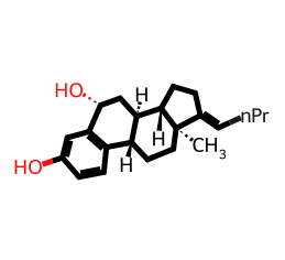 CCCC=C1CC[C@H]2[C@@H]3C[C@@H](O)c4cc(O)ccc4[C@H]3CC[C@]12C